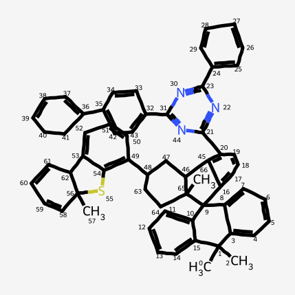 CC1(C)c2ccccc2C2(c3ccccc31)c1cccc(-c3nc(-c4ccccc4)nc(-c4ccc(C5=CC=CCC5)cc4)n3)c1C1CC(c3cccc4c3SC3(C)C=CC=CC43)CCC12C